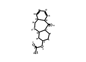 CCC(=O)OC1CCC2C(=O)C3C=CC=CC3CSC2C1